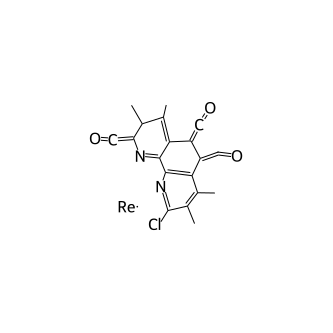 CC1=c2c(=C=O)c(=C=O)c3c(C)c(C)c(Cl)nc3c2=NC(=C=O)C1C.[Re]